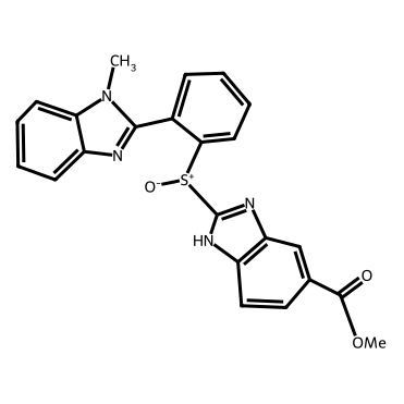 COC(=O)c1ccc2[nH]c([S+]([O-])c3ccccc3-c3nc4ccccc4n3C)nc2c1